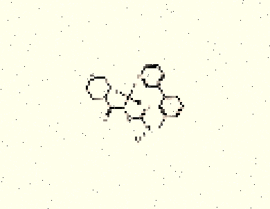 CN(Cc1cccc(-c2cccnc2)c1)C(=O)OC(C(=O)N1CCOCC1)C(F)(F)F